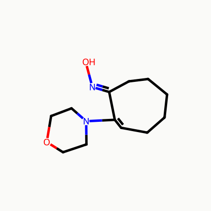 ON=C1CCCCCC=C1N1CCOCC1